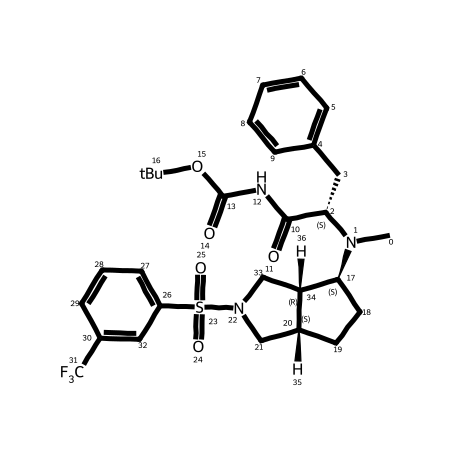 CN([C@@H](Cc1ccccc1)C(=O)NC(=O)OC(C)(C)C)[C@H]1CC[C@@H]2CN(S(=O)(=O)c3cccc(C(F)(F)F)c3)C[C@@H]21